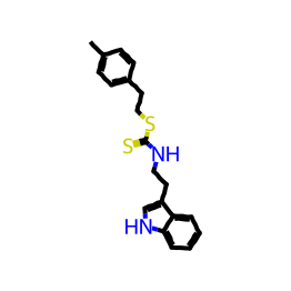 Cc1ccc(CCSC(=S)NCCc2c[nH]c3ccccc23)cc1